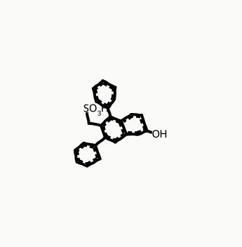 O=S(=O)(O)Cc1c(-c2ccccc2)cc2cc(O)ccc2c1-c1ccccc1